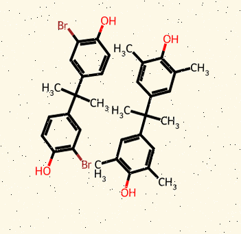 CC(C)(c1ccc(O)c(Br)c1)c1ccc(O)c(Br)c1.Cc1cc(C(C)(C)c2cc(C)c(O)c(C)c2)cc(C)c1O